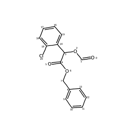 O=[C]OC(C(=O)OCc1ccccc1)c1ccccc1Cl